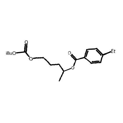 CCc1ccc(C(=O)OC(C)CCCOC(=O)OCC(C)C)cc1